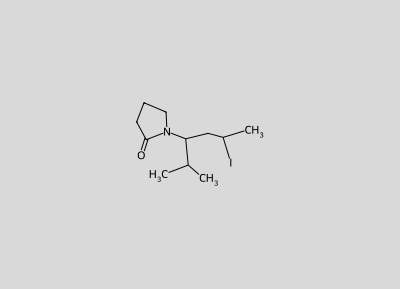 CC(I)CC(C(C)C)N1CCCC1=O